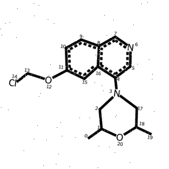 CC1CN(c2cncc3ccc(OCCl)cc23)CC(C)O1